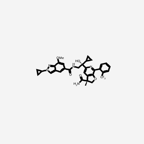 COc1cc(C(=O)NC[C@](O)(c2cc3c(c(-c4ccccc4C(F)(F)F)n2)OC[C@]3(C)C(N)=O)C2CC2)cc2cn(C3CC3)nc12